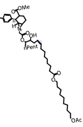 CCCCCC(OC(=O)C[N@]1C2CCC(C(=O)OC)[C@H](c3ccc(F)cc3)[C@H]21)C(O)C/C=C\CCCCCCCC(=O)OCCCCCCCCCCOC(C)=O